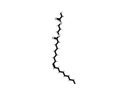 CCCCCCCC/C=C\CCCCCCCC(=O)OCCCOC(=O)CC